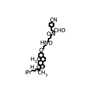 CC(C)CCC[C@@H](C)[C@H]1CCC2C3CC=C4C[C@@H](OCCCNC(=O)CCC(=O)[N][C@H](C=O)Cc5ccc(C#N)cc5)CC[C@]4(C)C3CC[C@@]21C